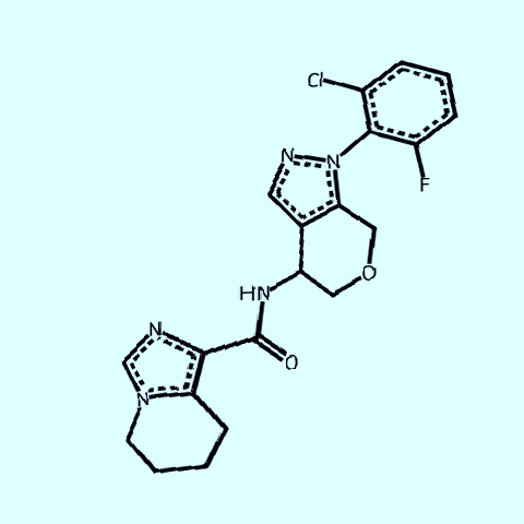 O=C(NC1COCc2c1cnn2-c1c(F)cccc1Cl)c1ncn2c1CCCC2